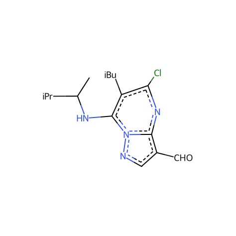 CCC(C)c1c(Cl)nc2c(C=O)cnn2c1NC(C)C(C)C